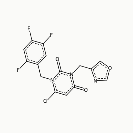 O=c1cc(Cl)n(Cc2cc(F)c(F)cc2F)c(=O)n1Cc1cocn1